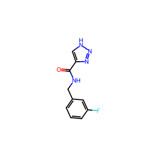 O=C(NCc1cccc(F)c1)c1c[nH]nn1